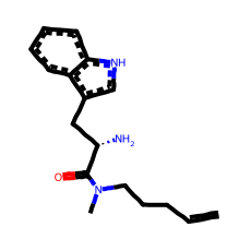 C=CCCCN(C)C(=O)[C@@H](N)Cc1c[nH]c2ccccc12